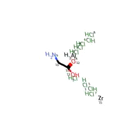 Cl.Cl.Cl.Cl.Cl.Cl.Cl.Cl.Cl.NCC(=O)O.[AlH3].[Zr]